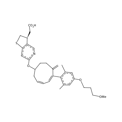 C=C1CCC(Oc2cc3c(cn2)[C@H](CC(=O)O)CS3)C/C=C\C=C/1c1c(C)cc(OCCCOC)cc1C